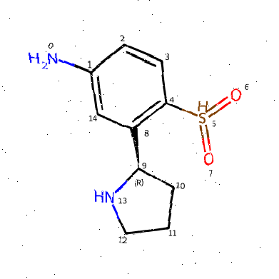 Nc1ccc([SH](=O)=O)c([C@H]2CCCN2)c1